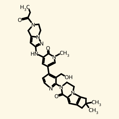 CCC(=O)N1CCn2nc(Nc3cc(-c4ccnc(N5CCn6c(cc7c6CC(C)(C)C7)C5=O)c4CO)cn(C)c3=O)cc2C1